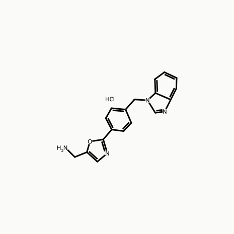 Cl.NCc1cnc(-c2ccc(Cn3cnc4ccccc43)cc2)o1